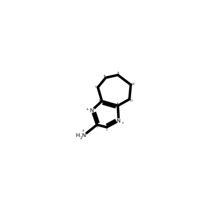 Nc1cnc2c(n1)CCCCC2